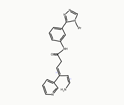 CC(C)n1cnnc1-c1cccc(NC(=O)C/C=C(\C=C/N)c2cccnc2)c1